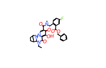 CCN1C(=O)c2c(O)c(=O)c(C(=O)N(C)Cc3ccc(F)cc3C(=O)OCc3ccccc3)cn2N2C3CCC(CC3)C12